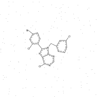 Clc1cccc(Cn2c(-c3ccc(Br)cc3Cl)nc3c(Cl)ncnc32)c1